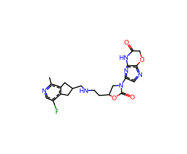 Cc1ncc(F)c2c1CC(CNCCC1CN(c3cnc4c(n3)NC(=O)CO4)C(=O)O1)C2